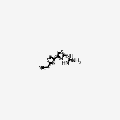 N#CCc1nc(-c2csc(NC(=N)N)n2)cs1